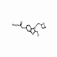 COC(=O)Cc1ccc2c(c1)nc(CCl)n2C[C@@H]1CCO1